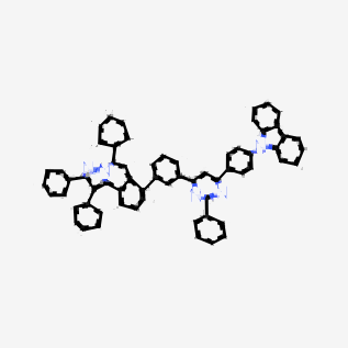 c1ccc(-c2nc(-c3ccc(-n4c5ccccc5c5ccccc54)cc3)cc(-c3cccc(-c4cccc5c4cc(-c4ccccc4)n4nc(-c6ccccc6)c(-c6ccccc6)c54)c3)n2)cc1